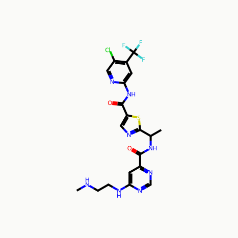 CNCCNc1cc(C(=O)NC(C)c2ncc(C(=O)Nc3cc(C(F)(F)F)c(Cl)cn3)s2)ncn1